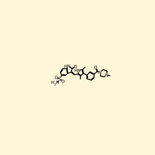 Cc1[nH]c(/C=C2\C(=O)Nc3ccc(S(N)(=O)=O)cc32)c(C)c1-c1cccc(C(=O)N2CCN(C)CC2)c1